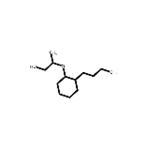 CCCCC1CCCCC1OC(C)CO